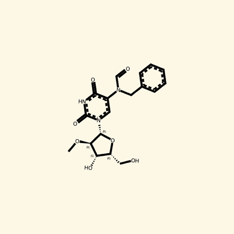 CO[C@@H]1[C@@H](O)[C@@H](CO)O[C@H]1n1cc(N(C=O)Cc2ccccc2)c(=O)[nH]c1=O